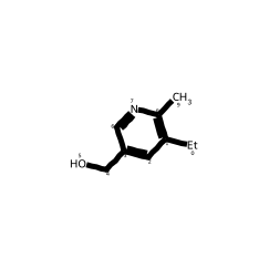 CCc1cc(CO)cnc1C